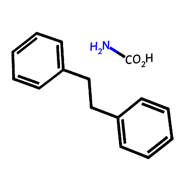 NC(=O)O.c1ccc(CCc2ccccc2)cc1